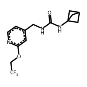 O=C(NCc1ccnc(OCC(F)(F)F)c1)NC12CC(C1)C2